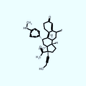 CNc1ccc([C@H]2C[C@@]3(C)[C@@H](CC[C@]3(C#CCO)C(C)=O)[C@@H]3CC(F)C4=CC(=O)CCC4=C32)cc1